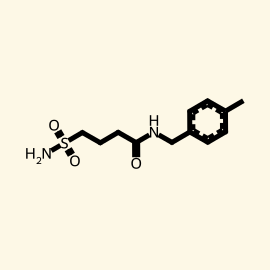 Cc1ccc(CNC(=O)CCCS(N)(=O)=O)cc1